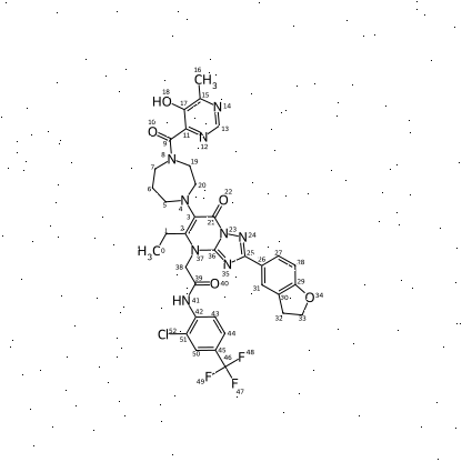 CCc1c(N2CCCN(C(=O)c3ncnc(C)c3O)CC2)c(=O)n2nc(-c3ccc4c(c3)CCO4)nc2n1CC(=O)Nc1ccc(C(F)(F)F)cc1Cl